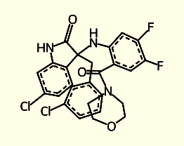 O=C(c1cc(F)c(F)cc1NC1(Cc2cccc(Cl)c2)C(=O)Nc2cc(Cl)ccc21)N1CCOCC1